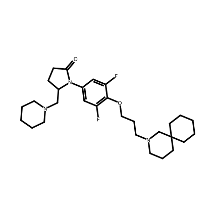 O=C1CCC(CN2CCCCC2)N1c1cc(F)c(OCCCN2CCCC3(CCCCC3)C2)c(F)c1